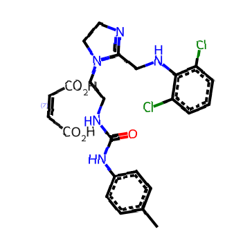 Cc1ccc(NC(=O)NCCN2CCN=C2CNc2c(Cl)cccc2Cl)cc1.O=C(O)/C=C\C(=O)O